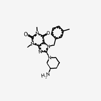 Cc1cccc(Cn2c(N3CCCC(N)C3)nc3c2c(=O)n(C)c(=O)n3C)c1